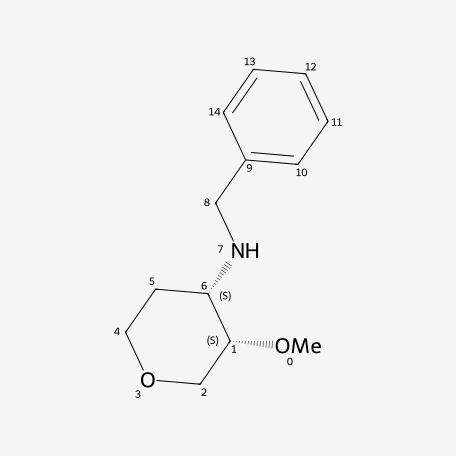 CO[C@@H]1COCC[C@@H]1NCc1ccccc1